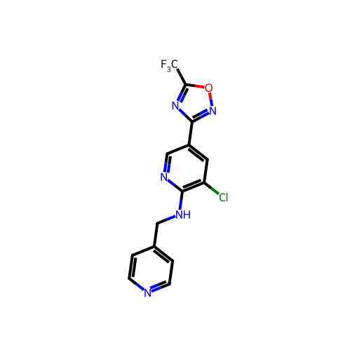 FC(F)(F)c1nc(-c2cnc(NCc3ccncc3)c(Cl)c2)no1